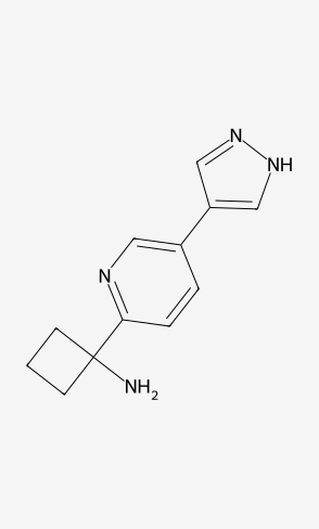 NC1(c2ccc(-c3cn[nH]c3)cn2)CCC1